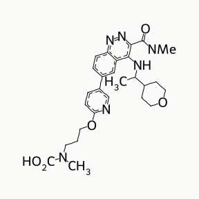 CNC(=O)c1nnc2ccc(-c3ccc(OCCCN(C)C(=O)O)nc3)cc2c1NC(C)C1CCOCC1